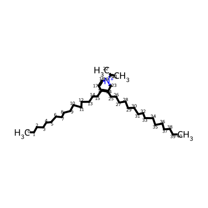 CCCCCCCCCCCCCCCCc1cc[n+](C(C)C)cc1CCCCCCCCCCCCCCCC